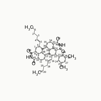 CCCCC=Cc1cc2c3c(ccc4c5c(C=CCCCC)c(-c6cc(C)cc(C)c6)c6c7c(ccc(c1c34)c75)C(=O)NC6=O)C(=O)NC2=O